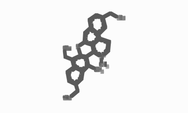 Cc1c2c(c(CC(C)(C)C)c3ccc(CC(C)(C)C)cc13)Sc1cc3ccc(CC(C)(C)C)cc3c3cc[n+](C)c-2c13